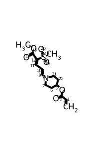 C=CC(=O)OC1CCN(/C=C/C=C(/C(=O)OC)S(C)(=O)=O)CC1